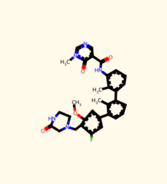 COc1cc(-c2cccc(-c3cccc(NC(=O)c4cncn(C)c4=O)c3C)c2C)cc(F)c1CN1CCNC(=O)C1